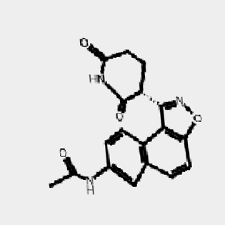 CC(=O)Nc1ccc2c(ccc3onc([C@H]4CCC(=O)NC4=O)c32)c1